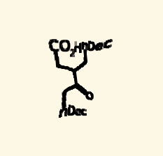 CCCCCCCCCCCC(=O)C(CCCCCCCCCCC)CC(=O)O